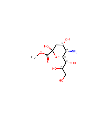 COC(=O)C1(O)C[C@H](O)[C@@H](N)[C@H]([C@H](O)[C@H](O)CO)O1